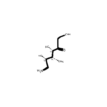 NC[C@H](O)[C@@H](O)[C@H](O)C(=O)CO